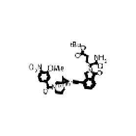 COc1cc(C(=O)N2CCC[C@@]3(C[C@@H]3C#Cc3cccc4c3CN([C@@H](CCC(=O)OC(C)(C)C)C(N)=O)C4=O)C2)ccc1[N+](=O)[O-]